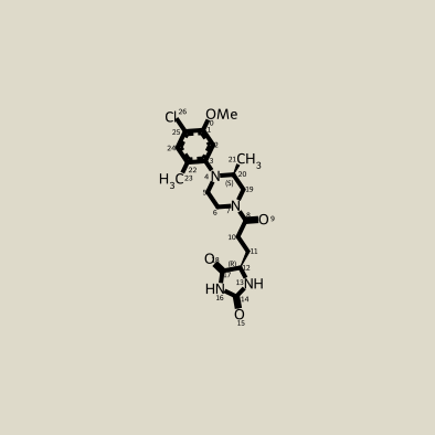 COc1cc(N2CCN(C(=O)CC[C@H]3NC(=O)NC3=O)C[C@@H]2C)c(C)cc1Cl